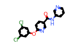 O=C(Nc1cccnc1)c1ccc(Oc2cc(Cl)cc(Cl)c2)nc1